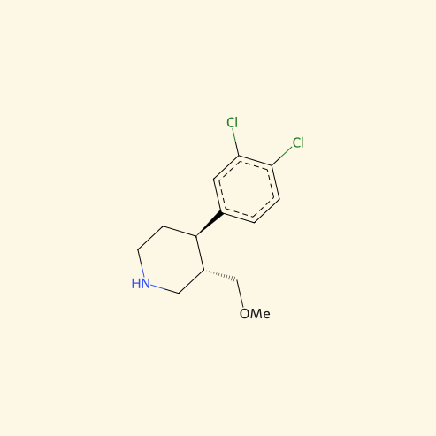 COC[C@@H]1CNCC[C@H]1c1ccc(Cl)c(Cl)c1